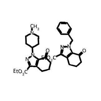 CCOC(=O)c1nn(C2CCN(C)CC2)c2c1CCCC2=O.CCOC(=O)c1nn(Cc2ccccc2)c2c1CCCC2=O